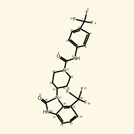 O=C(Nc1ccc(C(F)(F)F)cc1)N1CCC(n2c(=O)[nH]c3cccc(C(F)(F)F)c32)CC1